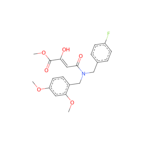 COC(=O)C(O)=CC(=O)N(Cc1ccc(F)cc1)Cc1ccc(OC)cc1OC